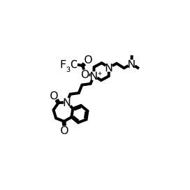 CN(C)CCN1CC[N+](CCCCN2C(=O)CCC(=O)c3ccccc32)(OC(=O)C(F)(F)F)CC1